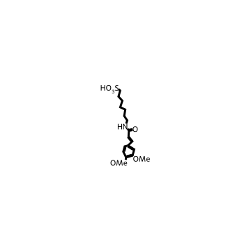 COc1ccc(/C=C/C(=O)NCCCCCCCS(=O)(=O)O)cc1OC